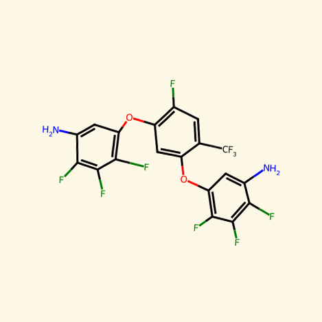 Nc1cc(Oc2cc(Oc3cc(N)c(F)c(F)c3F)c(C(F)(F)F)cc2F)c(F)c(F)c1F